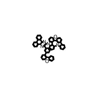 c1cc(-c2nc3c4ccccc4c4ccccc4c3nc2-n2c3ccc4oc5ccc6c7ccccc7n7c8cccc2c8c3c4c5c67)cc(-c2cccc3oc4ccccc4c23)c1